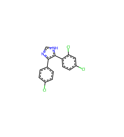 Clc1ccc(-c2nc[nH]c2-c2ccc(Cl)cc2Cl)cc1